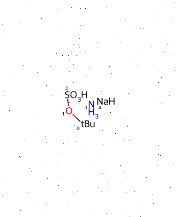 CC(C)(C)OS(=O)(=O)O.N.[NaH]